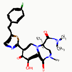 CC[C@]1(C(=O)N(C)C)CN(C(C)C)C(=O)c2c(O)c(=O)c(-c3ncc(Cc4ccc(F)cc4)s3)cn21